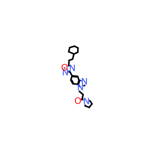 O=C(CCn1cnc2cc(-c3noc(CCC4CCCCC4)n3)ccc21)N1CCCC1